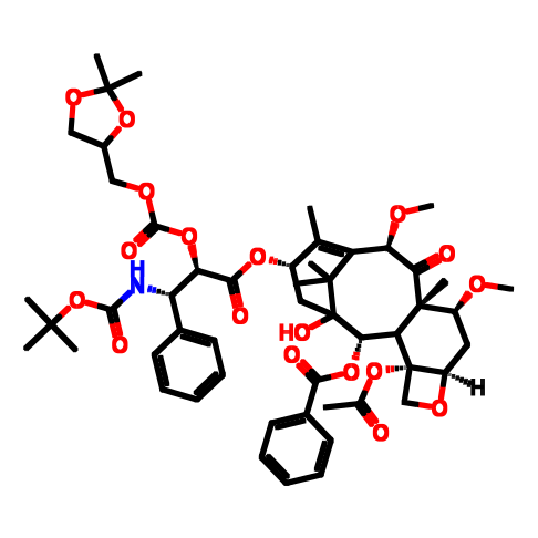 CO[C@H]1C(=O)[C@@]2(C)C([C@H](OC(=O)c3ccccc3)C3(O)C[C@H](OC(=O)[C@H](OC(=O)OCC4COC(C)(C)O4)[C@@H](NC(=O)OC(C)(C)C)c4ccccc4)C(C)=C1C3(C)C)[C@]1(OC(C)=O)CO[C@@H]1C[C@@H]2OC